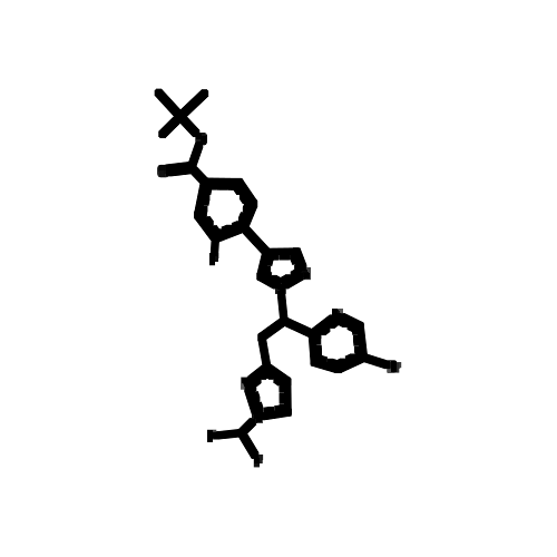 CC(C)(C)OC(=O)c1ccc(-c2cnn(C(Cc3ccn(C(F)F)n3)c3ccc(Br)cn3)c2)c(F)c1